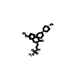 CC(C)Oc1ccc2c(c1)CN(CCNS(N)(=O)=O)C(=O)C21CCN([C@H]2CC[C@@H](C(C)C)CC2)CC1